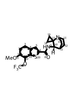 COc1ccc2cc(C(=O)N[C@H]3C4CCN(CC4)C34CC4)sc2c1OC(F)(F)F